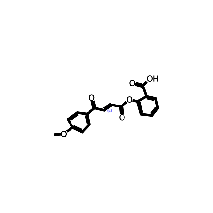 COc1ccc(C(=O)/C=C/C(=O)Oc2ccccc2C(=O)O)cc1